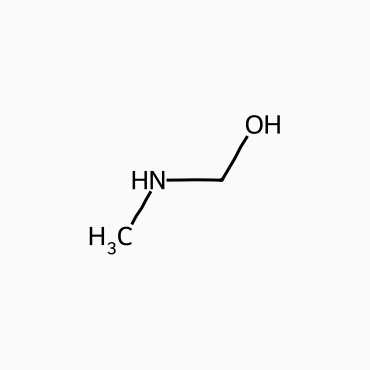 CNCO